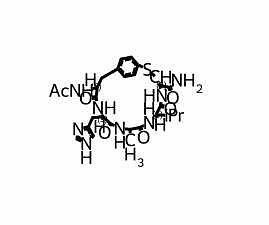 CC(=O)N[C@H]1Cc2ccc(cc2)SC[C@@H](C(N)=O)NC(=O)[C@H](C(C)C)NC(=O)C(C)NC(=O)[C@H](Cc2c[nH]cn2)NC1=O